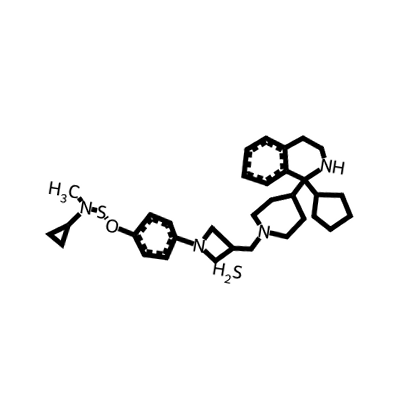 CN(SOc1ccc(N2CC(CN3CCC(C4(C5CCCC5)NCCc5ccccc54)CC3)C2)cc1)C1CC1.S